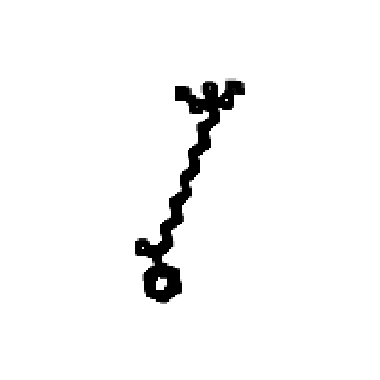 CCOP(=O)(CCCCCCCCCCCC(=O)c1ccccc1)OCC